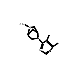 Cc1ncnc(N2CC3CC2CN3C=O)c1C